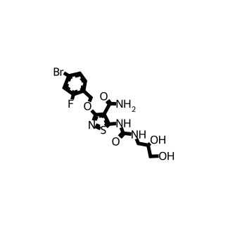 NC(=O)c1c(OCc2ccc(Br)cc2F)nsc1NC(=O)NCC(O)CO